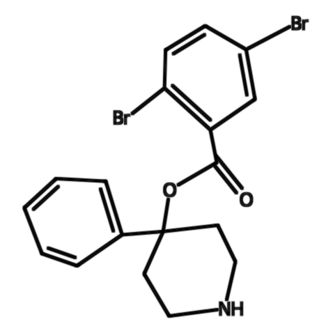 O=C(OC1(c2ccccc2)CCNCC1)c1cc(Br)ccc1Br